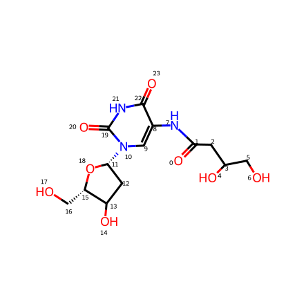 O=C(CC(O)CO)Nc1cn([C@@H]2CC(O)[C@H](CO)O2)c(=O)[nH]c1=O